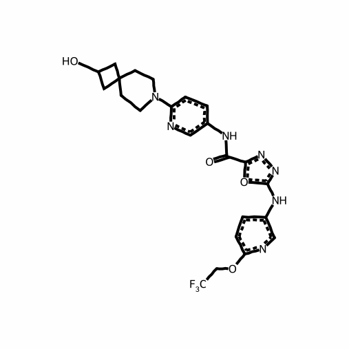 O=C(Nc1ccc(N2CCC3(CC2)CC(O)C3)nc1)c1nnc(Nc2ccc(OCC(F)(F)F)nc2)o1